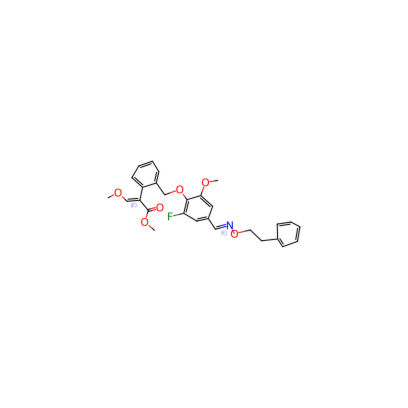 CO/C=C(/C(=O)OC)c1ccccc1COc1c(F)cc(/C=N/OCCc2ccccc2)cc1OC